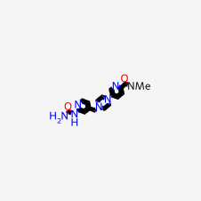 CNC(=O)c1ccc(N2CCN(Cc3ccnc(NC(N)=O)c3)CC2)cn1